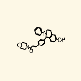 O=C(C=Cc1ccc(C2c3ccc(O)cc3CCN2c2ccccc2)cc1)N1CCOCC1